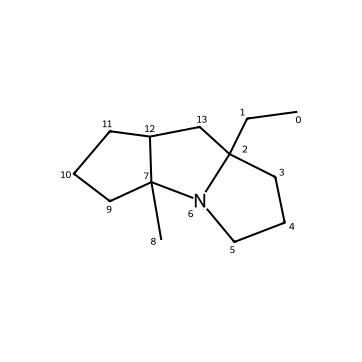 CCC12CCCN1C1(C)CCCC1C2